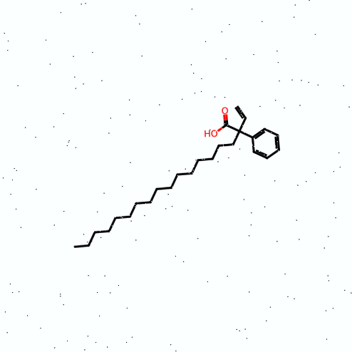 C=CC(CCCCCCCCCCCCCCCC)(C(=O)O)c1ccccc1